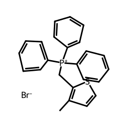 Cc1ccsc1C[P+](c1ccccc1)(c1ccccc1)c1ccccc1.[Br-]